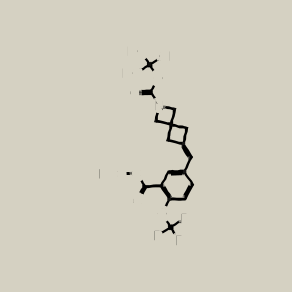 COC(=O)c1cc(C=C2CC3(C2)CN(C(=O)OC(C)(C)C)C3)ccc1OC(F)(F)F